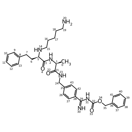 C[C@H](NC(=O)[C@@H](CCc1ccccc1)NCCCCCN)C(=O)NCc1ccc(C(=N)NC(=O)OCc2ccccc2)cc1